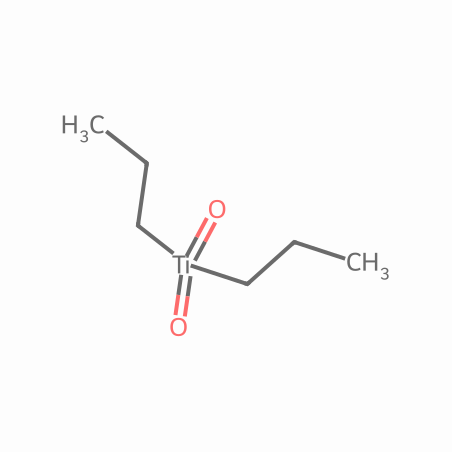 CC[CH2][Ti](=[O])(=[O])[CH2]CC